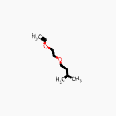 C=COCCOCCC(C)C